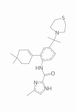 Cc1c[nH]c(C(=O)Nc2ccc(C(C)(C)N3CCSCC3)cc2C2=CCC(C)(C)CC2)n1